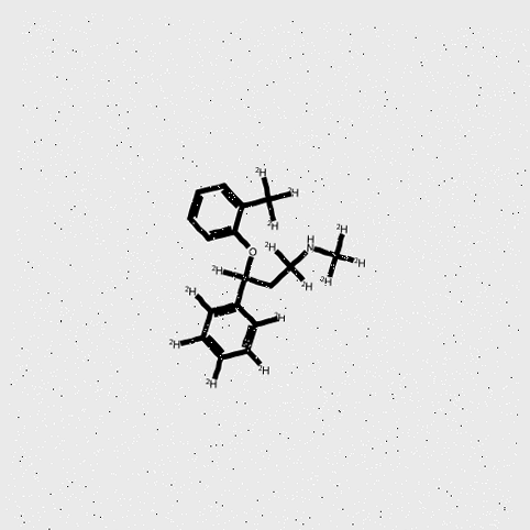 [2H]c1c([2H])c([2H])c(C([2H])(CC([2H])([2H])NC([2H])([2H])[2H])Oc2ccccc2C([2H])([2H])[2H])c([2H])c1[2H]